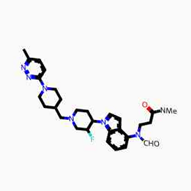 CNC(=O)CCN(C=O)c1cccc2c1ccn2C1CCN(CC2CCN(c3ccc(C)nn3)CC2)CC1F